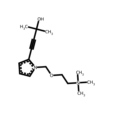 CC(C)(O)C#Cc1cccn1COCC[Si](C)(C)C